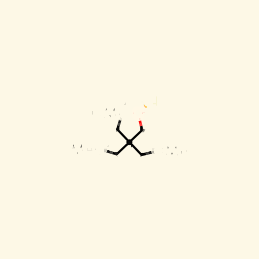 COCC(COC)(COC)COS